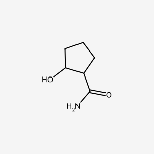 NC(=O)C1CCCC1O